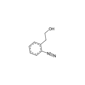 N#[N+]c1ccccc1CCO